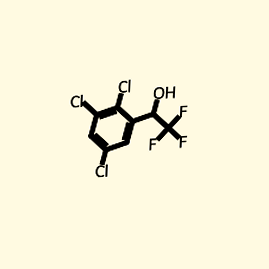 OC(c1cc(Cl)cc(Cl)c1Cl)C(F)(F)F